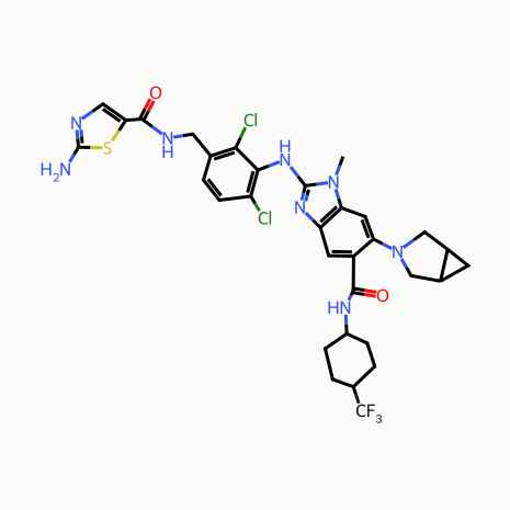 Cn1c(Nc2c(Cl)ccc(CNC(=O)c3cnc(N)s3)c2Cl)nc2cc(C(=O)NC3CCC(C(F)(F)F)CC3)c(N3CC4CC4C3)cc21